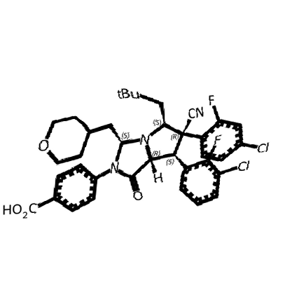 CC(C)(C)C[C@@H]1N2[C@H](CC3CCOCC3)N(c3ccc(C(=O)O)cc3)C(=O)[C@H]2[C@H](c2cccc(Cl)c2F)[C@@]1(C#N)c1ccc(Cl)cc1F